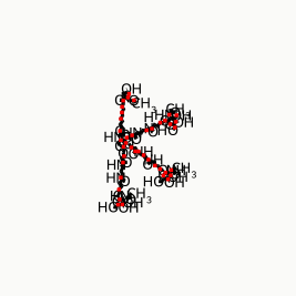 COC[C@@H]1C[C@@H](O)CN1C(=O)CCCCCCCCCOC(=O)N[C@H]1CO[C@H](COCCC(=O)NCCCNC(=O)CCCCO[C@@H]2O[C@H](CO)[C@H](O)[C@H](O)[C@H]2NC(C)=O)[C@@H](OCCC(=O)NCCCNC(=O)CCCCO[C@@H]2O[C@H](CO)[C@H](O)[C@H](O)[C@H]2NC(C)=O)[C@@H]1OCCC(=O)NCCCNC(=O)CCCCO[C@@H]1O[C@H](CO)[C@H](O)[C@H](O)[C@H]1NC(C)=O